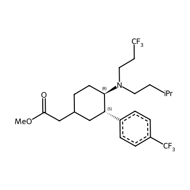 COC(=O)CC1CC[C@@H](N(CCC(C)C)CCC(F)(F)F)[C@H](c2ccc(C(F)(F)F)cc2)C1